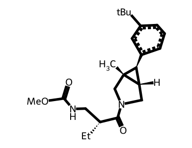 CC[C@H](CNC(=O)OC)C(=O)N1C[C@H]2[C@H](c3cccc(C(C)(C)C)c3)[C@@]2(C)C1